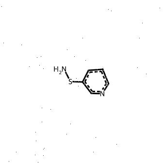 NSc1cccnc1